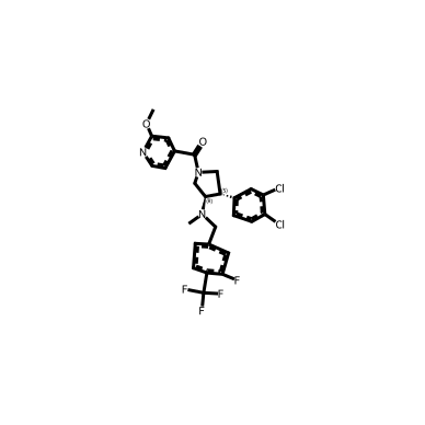 COc1cc(C(=O)N2C[C@H](c3ccc(Cl)c(Cl)c3)[C@@H](N(C)Cc3ccc(C(F)(F)F)c(F)c3)C2)ccn1